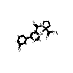 NC(=O)C1(I)CCCN1C(=O)c1cc(-c2cccc(Cl)c2)ncn1